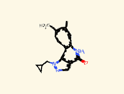 Cc1cc2[nH]c(=O)c3cnn(CC4CC4)c3c2cc1C(=O)O